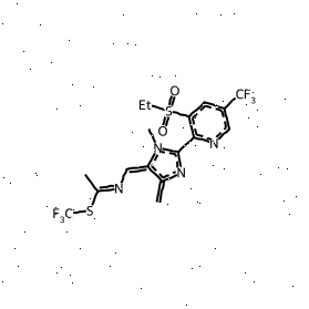 C=c1nc(-c2ncc(C(F)(F)F)cc2S(=O)(=O)CC)n(C)/c1=C/N=C(\C)SC(F)(F)F